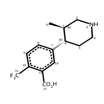 C[C@H]1CNCC[C@@H]1c1ccc(C(F)(F)F)c(C(=O)O)c1